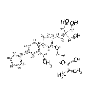 C=C(C)C(=O)OCCOc1cc(-c2ccc(-c3ccccc3)cc2CC)ccc1CCC(CO)(CO)CO